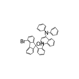 OC1(c2ccccc2-c2ccc(N(c3ccccc3)c3ccccc3)c3ccccc23)c2ccccc2-c2c(Br)cccc21